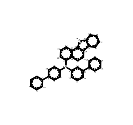 c1ccc(-c2ccc(N(c3cccc(-c4ccccc4)c3)c3cccc4c3ccc3c5ccccc5sc43)cc2)cc1